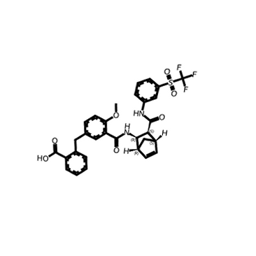 COc1ccc(Cc2ccccc2C(=O)O)cc1C(=O)N[C@H]1[C@@H](C(=O)Nc2cccc(S(=O)(=O)C(F)(F)F)c2)[C@@H]2C=C[C@H]1C2